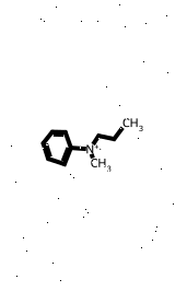 CCC[N+](C)c1ccccc1